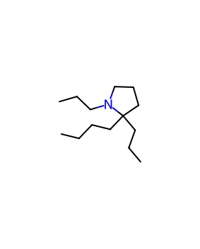 CCCCC1(CCC)CCCN1CCC